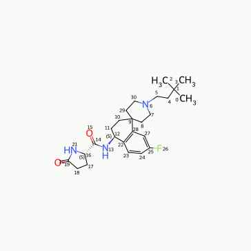 CC(C)(C)CCN1CCC2(CC[C@H](NC(=O)[C@@H]3CCC(=O)N3)c3ccc(F)cc32)CC1